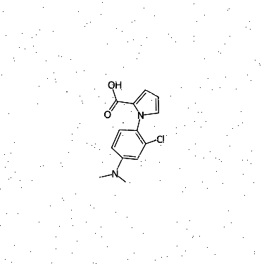 CN(C)c1ccc(-n2cccc2C(=O)O)c(Cl)c1